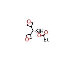 CCC(=O)O[SiH2]C(C1COC1)C1COC1